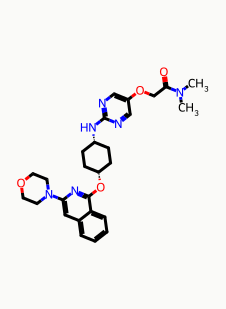 CN(C)C(=O)COc1cnc(N[C@H]2CC[C@@H](Oc3nc(N4CCOCC4)cc4ccccc34)CC2)nc1